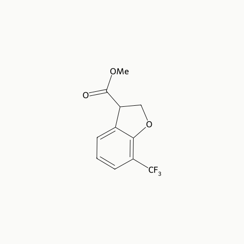 COC(=O)C1COc2c1cccc2C(F)(F)F